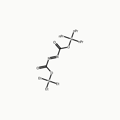 CCC[Si](CCC)(CCC)OC(=O)N=NC(=O)O[Si](CC)(CC)CC